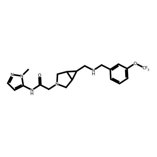 Cn1nccc1NC(=O)CN1CC2C(CNCc3cccc(OC(F)(F)F)c3)C2C1